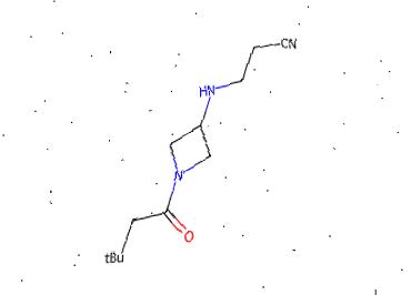 CC(C)(C)CC(=O)N1CC(NCCC#N)C1